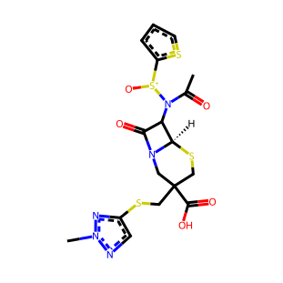 CC(=O)N(C1C(=O)N2CC(CSc3cnn(C)n3)(C(=O)O)CS[C@H]12)[S+]([O-])c1cccs1